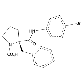 O=C(O)N1CCC[C@]1(Cc1ccccc1)C(=O)Nc1ccc(Br)cc1